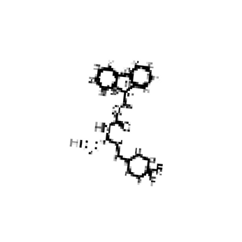 O=C(N[C@@H](CCC1CCC(F)(F)CC1)C(=O)O)OCC1c2ccccc2-c2ccccc21